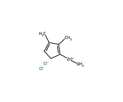 CC1=CC[C]([Zr+2][SiH3])=C1C.[Cl-].[Cl-]